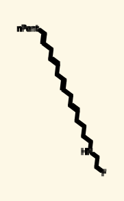 CCCCCC=CCC=CCC=CCC=CCCCCNCCF